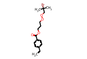 C=Cc1ccc(C(=O)OCCCOOCC(C)(C)Br)cc1